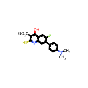 CCOC(=O)c1c(S)nc2cc(-c3ccc(N(C)C)cc3)c(F)cc2c1O